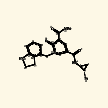 CC[C@H]1C[C@@H]1NC(=O)c1cc(C(=O)NC)c(=O)n(Cc2cccc3c2CCN3)c1